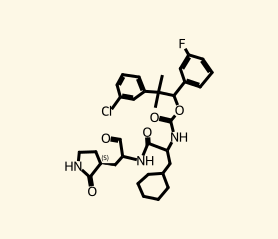 CC(C)(c1cccc(Cl)c1)C(OC(=O)NC(CC1CCCCC1)C(=O)NC(C=O)C[C@@H]1CCNC1=O)c1cccc(F)c1